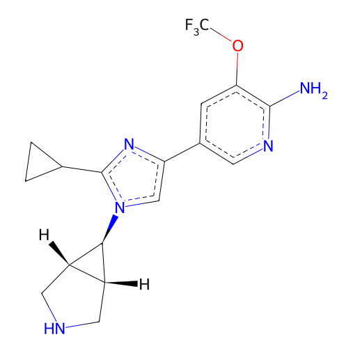 Nc1ncc(-c2cn([C@H]3[C@@H]4CNC[C@@H]43)c(C3CC3)n2)cc1OC(F)(F)F